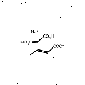 CC=CC(=O)[O-].O=C(O)CC(=O)O.[Na+]